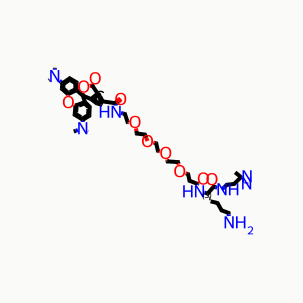 CN(C)c1ccc2c(c1)Oc1cc(N(C)C)ccc1C21OC(=O)c2cc(C(=O)NCCOCCOCCOCCOCCC(=O)N[C@@H](CCCCN)C(=O)NCCC3(C)N=N3)ccc21